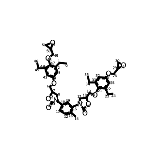 CCc1cc(OCC2CN(c3ccc(C)c(N4CC(COc5c(CC)cc(OCC6CO6)cc5CC)OC4=O)c3)C(=O)O2)cc(CC)c1OCC1CO1